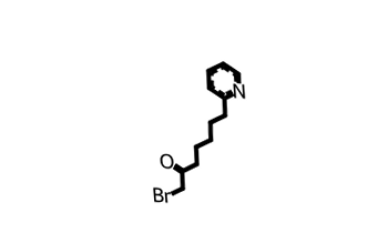 O=C(CBr)CCCCCc1ccccn1